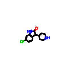 O=C1Nc2cc(Cl)ccc2C1C1CCNCC1